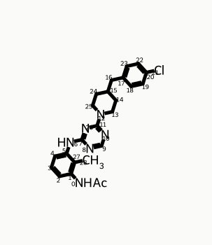 CC(=O)Nc1cccc(Nc2ncnc(N3CCC(Cc4ccc(Cl)cc4)CC3)n2)c1C